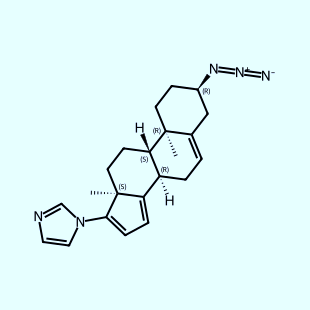 C[C@]12CC[C@H]3[C@@H](CC=C4C[C@H](N=[N+]=[N-])CC[C@@]43C)C1=CC=C2n1ccnc1